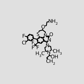 C=CC(O)N1[C@H](C)CN(c2nc(=O)n3c4c(c(-c5ccc(F)c(Cl)c5)c(C(F)(F)F)cc24)SCC(OCCN)C3)C[C@@H]1C